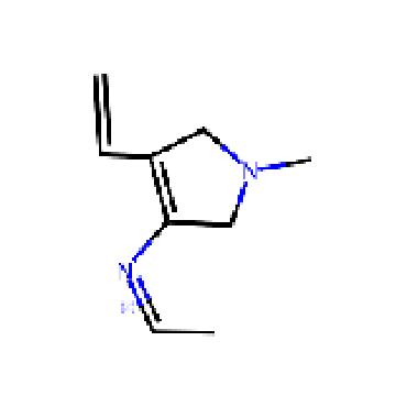 C=CC1=C(/N=C\C)CN(C)C1